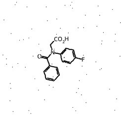 O=C(O)CN(C(=O)c1ccccc1)c1ccc(F)cc1